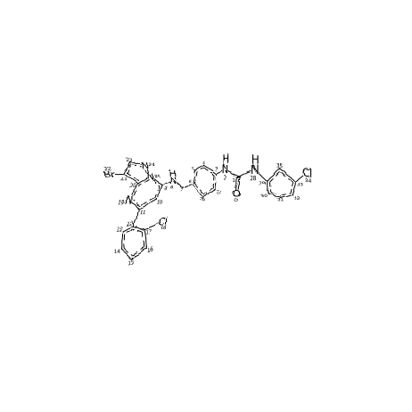 O=C(Nc1ccc(CNc2cc(-c3ccccc3Cl)nc3c(Br)cnn23)cc1)Nc1cccc(Cl)c1